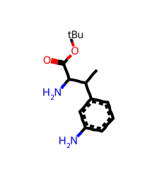 CC(c1cccc(N)c1)C(N)C(=O)OC(C)(C)C